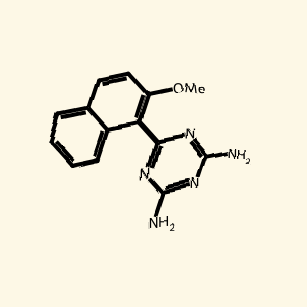 COc1ccc2ccccc2c1-c1nc(N)nc(N)n1